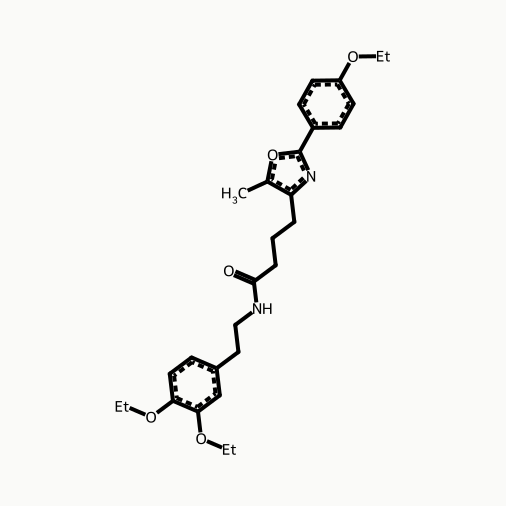 CCOc1ccc(-c2nc(CCCC(=O)NCCc3ccc(OCC)c(OCC)c3)c(C)o2)cc1